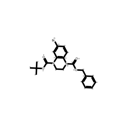 CC(C)(C)OC(=O)N1CCN(C(=O)OCc2ccccc2)c2ccc(Br)cc21